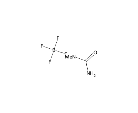 C[NH2+]C(N)=O.F[B-](F)(F)F